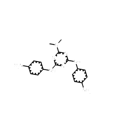 CN(C)c1nc(Nc2ccc(N)cc2)nc(Nc2ccc(N)cc2)n1